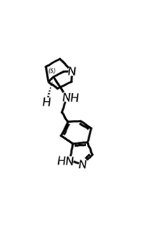 c1cc2cn[nH]c2cc1CN[C@@H]1CN2CCC1CC2